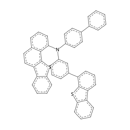 c1ccc(-c2ccc(N(c3cccc(-c4cccc5c4sc4ccccc45)c3)c3cccc4ccc5c6ccccc6sc5c34)cc2)cc1